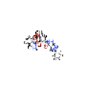 COc1ccc(NC(=O)c2cnn(-c3ccccc3)c2)cc1S(=O)(=O)Nc1c(C)cccc1C